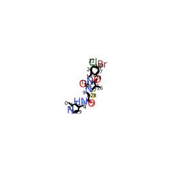 Cc1cc(CNC(=O)c2cn3c(=O)n(Cc4ccc(Br)c(Cl)c4)c(=O)c(C)c3s2)ccn1